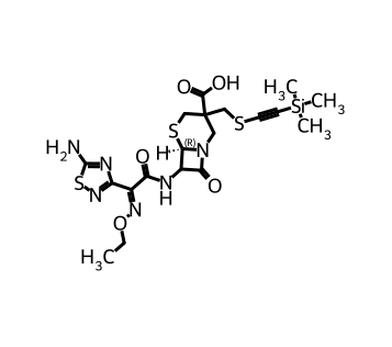 CCON=C(C(=O)NC1C(=O)N2CC(CSC#C[Si](C)(C)C)(C(=O)O)CS[C@H]12)c1nsc(N)n1